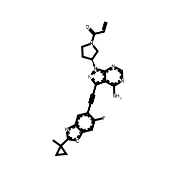 C=CC(=O)N1CC[C@H](n2nc(C#Cc3cc4nc(C5(C)CC5)oc4cc3F)c3c(N)ncnc32)C1